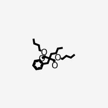 CCCCOC(=O)C(CCCC)(Cc1ccccc1)C(=O)OCCCC